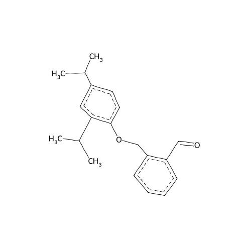 CC(C)c1ccc(OCc2ccccc2C=O)c(C(C)C)c1